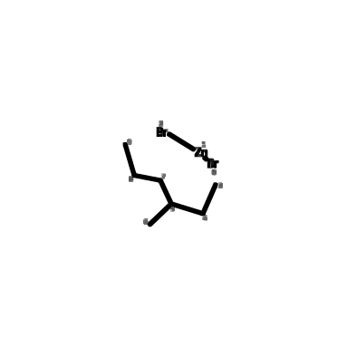 [Br][Zn][Br].[CH2]CC(C)CCC